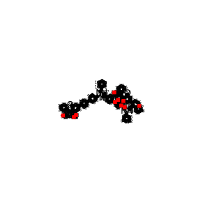 c1ccc(-c2nc(-c3ccc(-c4ccc(-c5ccc6c(c5)Oc5ccccc5C65c6ccccc6-c6ccccc65)cc4)cc3)nc(-c3ccc(-c4ccc(-c5nc(-c6ccccc6)nc(-c6c(-c7ccc8c(c7)Oc7ccccc7C87c8ccccc8-c8ccccc87)ccc7ccccc67)n5)cc4)cc3)n2)cc1